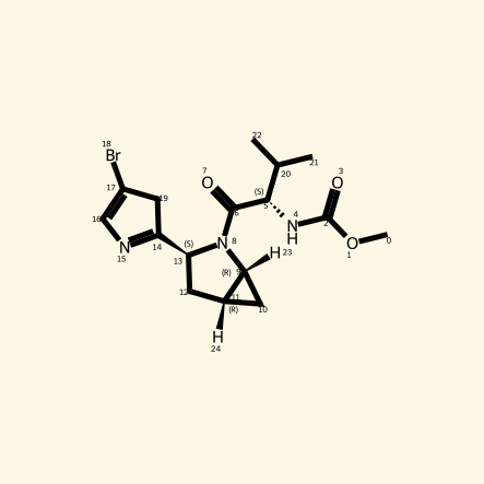 COC(=O)N[C@H](C(=O)N1[C@@H]2C[C@@H]2C[C@H]1C1=NC=C(Br)C1)C(C)C